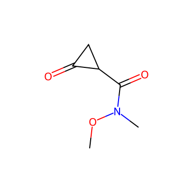 CON(C)C(=O)C1CC1=O